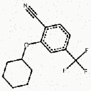 N#Cc1ccc(C(F)(F)F)cc1OC1CCCCC1